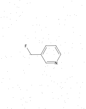 F[CH]c1cccnc1